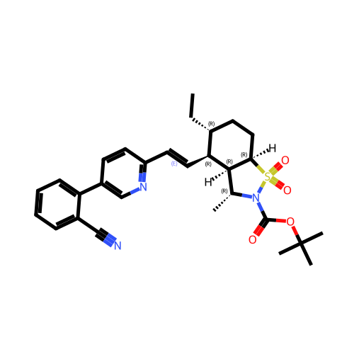 CC[C@@H]1CC[C@@H]2[C@H]([C@H]1/C=C/c1ccc(-c3ccccc3C#N)cn1)[C@@H](C)N(C(=O)OC(C)(C)C)S2(=O)=O